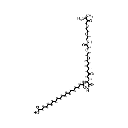 CC(C)C(=O)COCCOCCNC(=O)COCCOCCCCCC(=O)CC[C@H](NC(=O)CCCCCCCCCCCCCCCCCCC(=O)O)C(=O)O